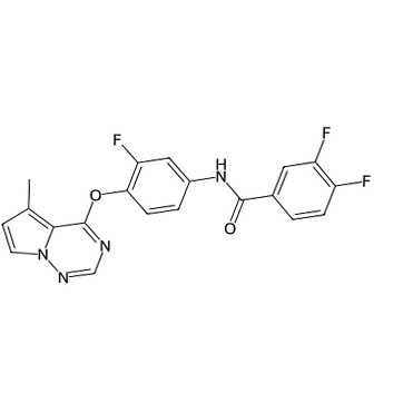 Cc1ccn2ncnc(Oc3ccc(NC(=O)c4ccc(F)c(F)c4)cc3F)c12